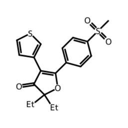 CCC1(CC)OC(c2ccc(S(C)(=O)=O)cc2)=C(c2ccsc2)C1=O